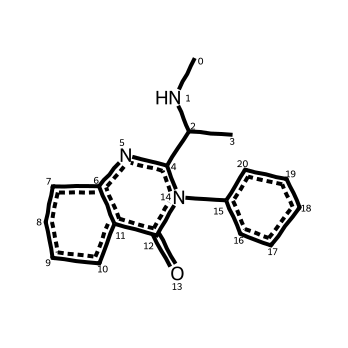 CNC(C)c1nc2ccccc2c(=O)n1-c1ccccc1